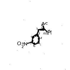 CC(=O)C(=Cc1cccc([N+](=O)[O-])c1)C(C)C